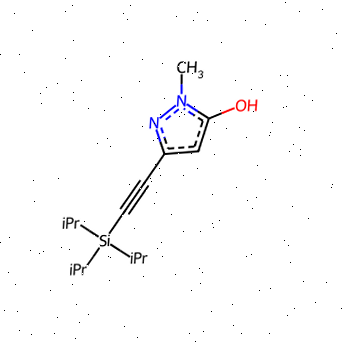 CC(C)[Si](C#Cc1cc(O)n(C)n1)(C(C)C)C(C)C